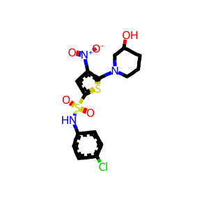 O=[N+]([O-])c1cc(S(=O)(=O)Nc2ccc(Cl)cc2)sc1N1CCCC(O)C1